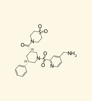 NCc1ccnc(S(=O)(=O)N2C[C@@H](C(=O)N3CCS(=O)(=O)CC3)C[C@@H](c3ccccc3)C2)c1